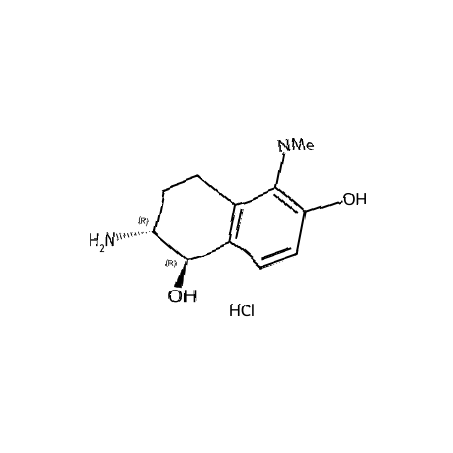 CNc1c(O)ccc2c1CC[C@@H](N)[C@@H]2O.Cl